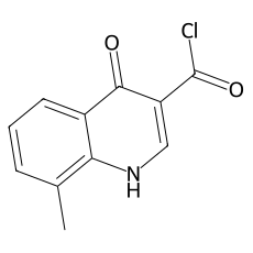 Cc1cccc2c(=O)c(C(=O)Cl)c[nH]c12